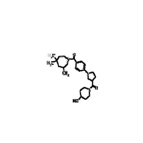 CC1CN(C(=O)c2ccc(N3CCC(C(=O)N4CCC(O)CC4)C3)cc2)CCC(C)(C)C1